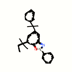 CCC(C)(C)c1cc(C(C)(C)c2ccccc2)cc2n[13c](-c3ccccc3)oc12